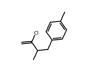 C=C(Cl)C(C)Cc1ccc(C)cc1